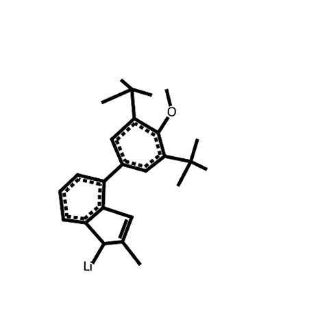 [Li][CH]1C(C)=Cc2c(-c3cc(C(C)(C)C)c(OC)c(C(C)(C)C)c3)cccc21